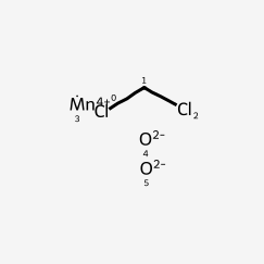 ClCCl.[Mn+4].[O-2].[O-2]